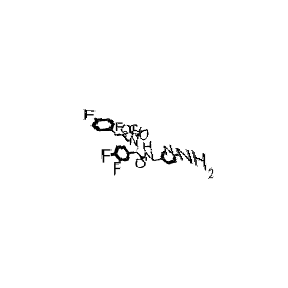 Nc1ccc(CNC(=O)[C@@H](CN(C[C@H](O)Cc2ccc(F)cc2)C(=O)C(F)(F)F)c2ccc(F)c(F)c2)cn1